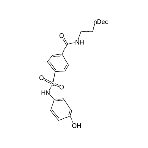 CCCCCCCCCCCCNC(=O)c1ccc(S(=O)(=O)Nc2ccc(O)cc2)cc1